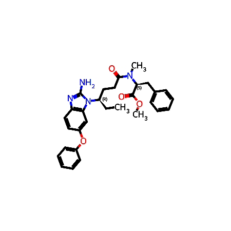 CC[C@H](CCC(=O)N(C)[C@@H](Cc1ccccc1)C(=O)OC)n1c(N)nc2ccc(Oc3ccccc3)cc21